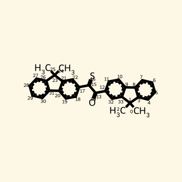 CC1(C)c2ccccc2-c2ccc(C(=O)C(=S)c3ccc4c(c3)C(C)(C)c3ccccc3-4)cc21